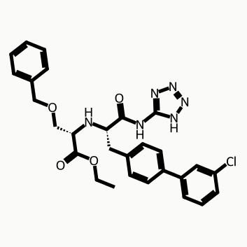 CCOC(=O)[C@H](COCc1ccccc1)N[C@@H](Cc1ccc(-c2cccc(Cl)c2)cc1)C(=O)Nc1nnn[nH]1